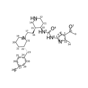 CC(=O)c1sc(NC(=O)N[C@@H]2CCNC[C@@H]2CCN2CCC[C@@H](Cc3ccc(F)cc3)C2)nc1C